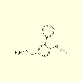 COc1ccc(CCN)cc1-c1ccccc1